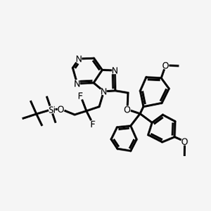 COc1ccc(C(OCc2nc3cncnc3n2CC(F)(F)CO[Si](C)(C)C(C)(C)C)(c2ccccc2)c2ccc(OC)cc2)cc1